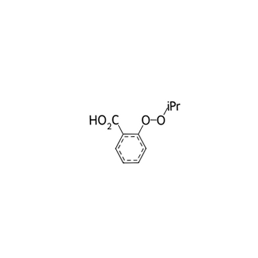 CC(C)OOc1ccccc1C(=O)O